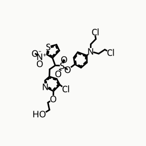 O=[N+]([O-])c1sccc1C(Cc1cnc(OCCO)c(Cl)c1)S(=O)(=O)Oc1ccc(N(CCCl)CCCl)cc1